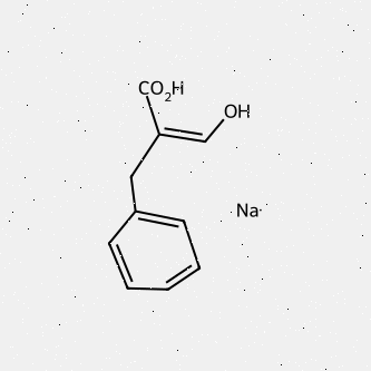 O=C(O)C(=CO)Cc1ccccc1.[Na]